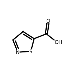 O=C(O)c1[c][c]ns1